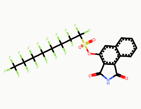 O=C1NC(=O)c2c1c(OS(=O)(=O)C(F)(F)C(F)(F)C(F)(F)C(F)(F)C(F)(F)C(F)(F)C(F)(F)C(F)(F)F)cc1ccccc21